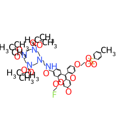 Cc1ccc(S(=O)(=O)OCCOc2ccc3c(-c4ccc(C(=O)NCCN5CCN(C(=O)OC(C)(C)C)CCN(C(=O)OC(C)(C)C)CCN(C(=O)OC(C)(C)C)CC5)cc4C(=O)OCCF)c4ccc(=O)cc-4oc3c2)cc1